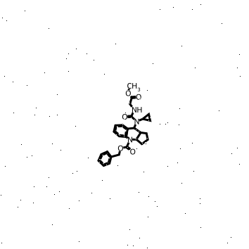 COC(=O)CNC(=O)N(C1CC1)C1c2ccccc2N(C(=O)OCc2ccccc2)C2CCCC21